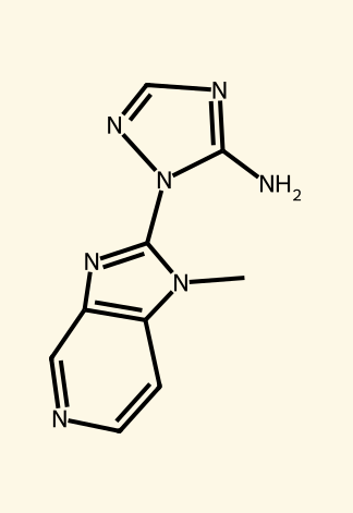 Cn1c(-n2ncnc2N)nc2cnccc21